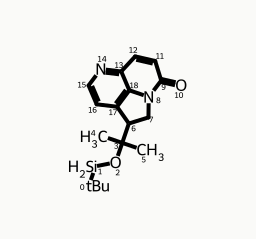 CC(C)(C)[SiH2]OC(C)(C)C1Cn2c(=O)ccc3nccc1c32